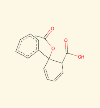 CC(=O)OC1(c2ccccc2)C=CC=CC1C(=O)O